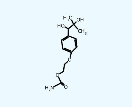 CC(C)(O)C(O)c1ccc(OCCOC(N)=O)cc1